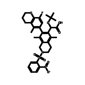 Cc1c(-c2c(C)c3c(c(C)c2C(OC(C)(C)C)C(=O)O)CCN(S(=O)(=O)c2ccccc2[N+](=O)[O-])C3)cc(F)c2c1CCCO2